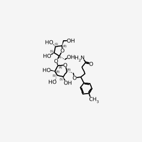 Cc1ccc(C(CCC(N)=O)OC[C@H]2O[C@H](O[C@]3(CO)O[C@H](CO)[C@@H](O)[C@@H]3O)[C@H](O)[C@@H](O)[C@@H]2O)cc1